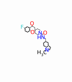 Cn1ccc2cc(CNC(=O)N3CCC4(CC3)CC(=O)c3cc(F)ccc3O4)ccc21